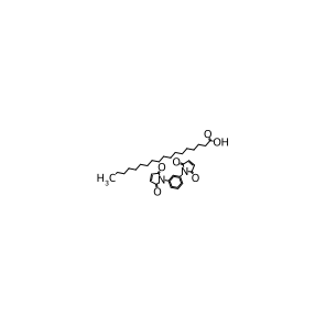 CCCCCCCCCCCCCCCCCC(=O)O.O=C1C=CC(=O)N1c1cccc(N2C(=O)C=CC2=O)c1